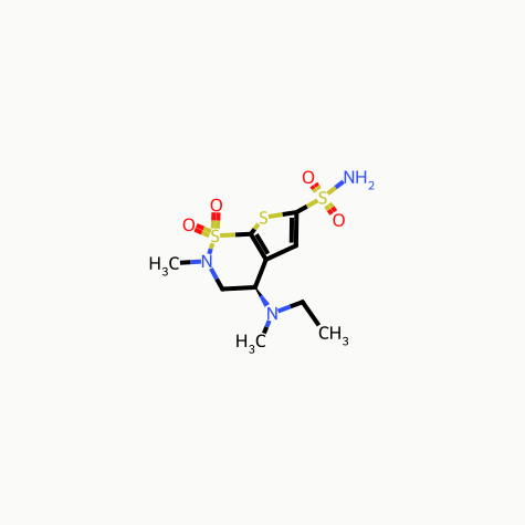 CCN(C)[C@H]1CN(C)S(=O)(=O)c2sc(S(N)(=O)=O)cc21